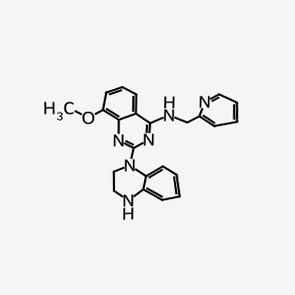 COc1cccc2c(NCc3ccccn3)nc(N3CCNc4ccccc43)nc12